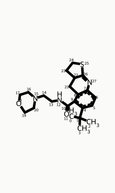 CC(C)(C)c1ccc2c(c1C(=O)NCCN1CCOCC1)CC1CCSC1=N2